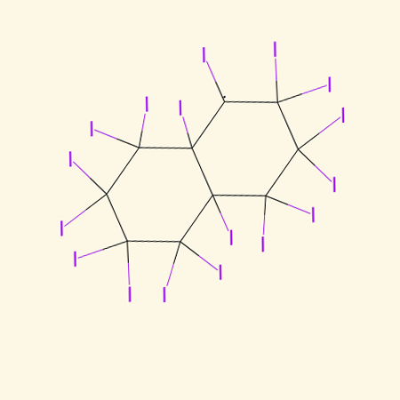 I[C]1C(I)(I)C(I)(I)C(I)(I)C2(I)C(I)(I)C(I)(I)C(I)(I)C(I)(I)C12I